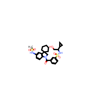 CS(=O)(=O)Nc1ccc2c(c1)C1(CCCCC1)CN2C(=O)c1cccc(S(=O)(=O)NC(CO)C2CC2)c1